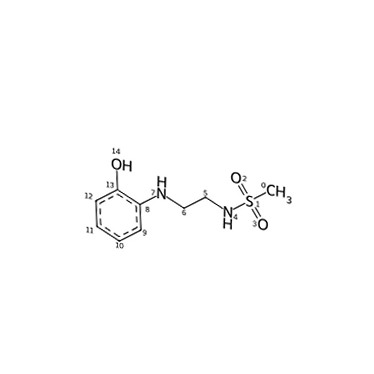 CS(=O)(=O)NCCNc1ccccc1O